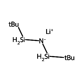 CC(C)(C)[SiH2][N-][SiH2]C(C)(C)C.[Li+]